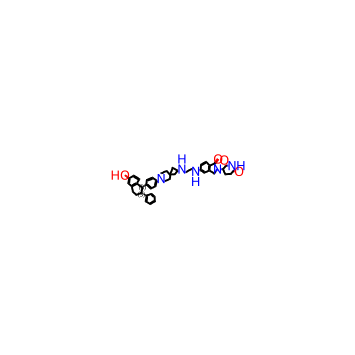 O=C1CCC(N2Cc3cc(NCCNC4CC5(CCN(c6ccc([C@@H]7c8ccc(O)cc8CC[C@@H]7c7ccccc7)cc6)CC5)C4)ccc3C2=O)C(=O)N1